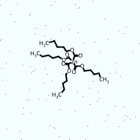 CCCCCO[C](=O)[Zn]([C](=O)OCCCCC)([C](=O)OCCCCC)[C](=O)OCCCCC